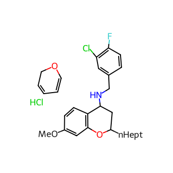 C1=CCOC=C1.CCCCCCCC1CC(NCc2ccc(F)c(Cl)c2)c2ccc(OC)cc2O1.Cl